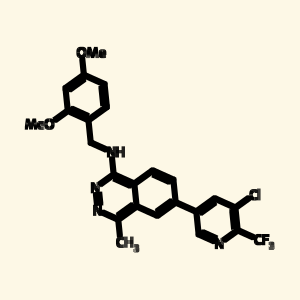 COc1ccc(CNc2nnc(C)c3cc(-c4cnc(C(F)(F)F)c(Cl)c4)ccc23)c(OC)c1